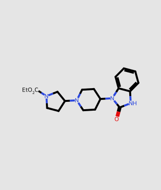 CCOC(=O)N1CCC(N2CCC(n3c(=O)[nH]c4ccccc43)CC2)C1